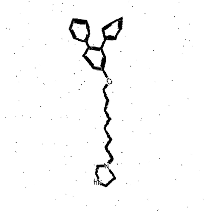 c1ccc(-c2ccc(OCCCCCCCCN3CCNCC3)cc2-c2ccccc2)cc1